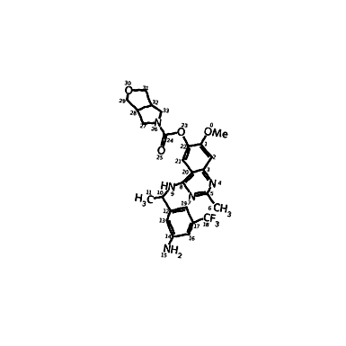 COc1cc2nc(C)nc(NC(C)c3cc(N)cc(C(F)(F)F)c3)c2cc1OC(=O)N1CC2COCC2C1